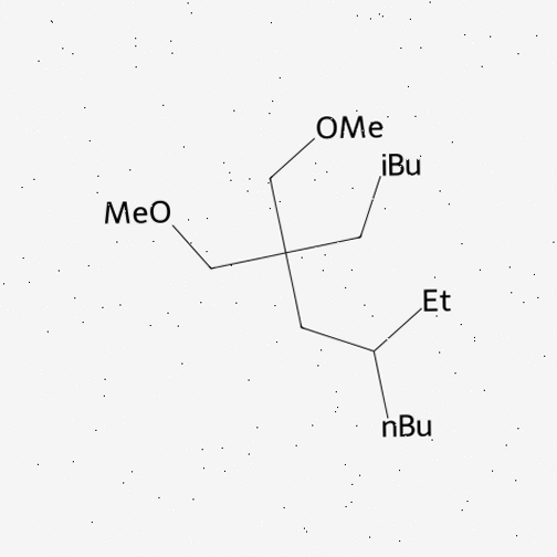 CCCCC(CC)CC(COC)(COC)CC(C)CC